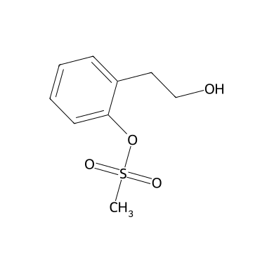 CS(=O)(=O)Oc1ccccc1CCO